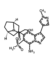 Cn1cc(-c2cnn3c(N)c(S(C)(=O)=O)c(C4C[C@H]5CC[C@@H](C4)N5C(=O)CO)nc23)cn1